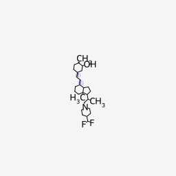 C=C1CC/C(=C/C=C2\CCCC3(C)C2CCC3C(C)CN2CCC(C(F)F)CC2)CC1O